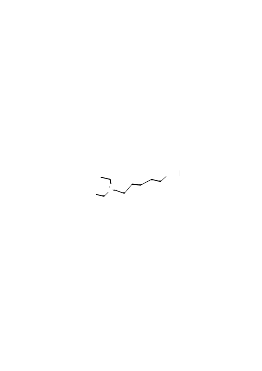 CCCCCC[N+](CC)CC